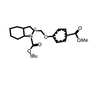 COC(=O)c1ccc(OC[C@@H]2CC3CCCCC3N2C(=O)OC(C)(C)C)cc1